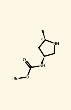 C[C@@H]1C[C@H](NC(=O)OC(C)(C)C)CN1